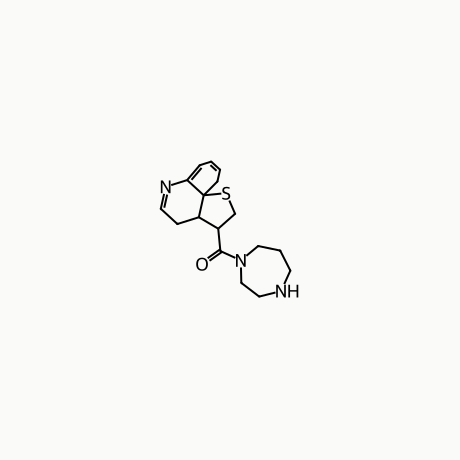 O=C(C1CSC23CC=CC=C2N=CCC13)N1CCCNCC1